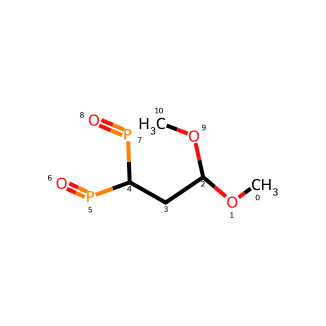 COC(CC(P=O)P=O)OC